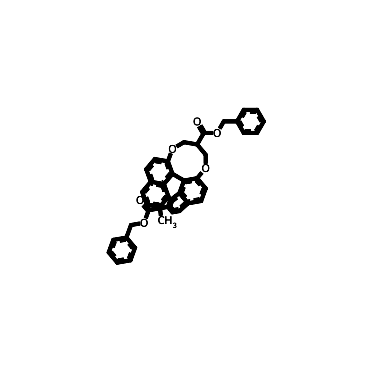 Cc1ccc2ccc3c(c2c1)-c1c(ccc2ccc(C(=O)OCc4ccccc4)cc12)OCC(C(=O)OCc1ccccc1)CO3